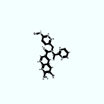 CCOc1ccc(CN(C(=O)c2cnc3nc(N)c(Br)cc3c2)C(C)c2ncccn2)nn1